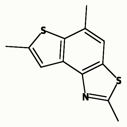 Cc1cc2c(s1)c(C)cc1sc(C)nc12